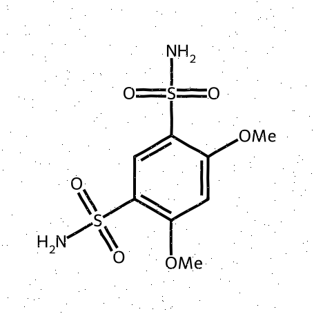 COc1cc(OC)c(S(N)(=O)=O)cc1S(N)(=O)=O